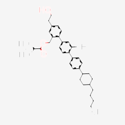 C=C(C)C(=O)OCc1cc(CCO)ccc1-c1ccc(-c2ccc(C3CCC(CCCCC)CC3)cc2)c(C)c1